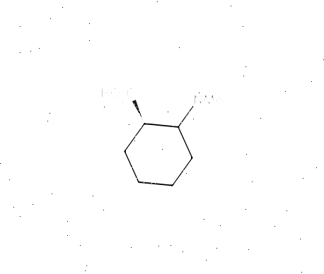 CNC1CCCC[C@H]1C(=O)O